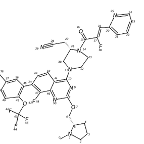 CN1CCC[C@H]1COc1nc(N2CCN(C(=O)/C(F)=C/c3ccccn3)[C@@H](CC#N)C2)c2ccc(-c3cc(Cl)ccc3OC(F)(F)F)c(F)c2n1